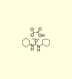 C[O+]=C(NC1CCCCC1)NC1CCCCC1.O=C([O-])C(=O)O